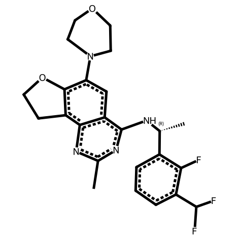 Cc1nc(N[C@H](C)c2cccc(C(F)F)c2F)c2cc(N3CCOCC3)c3c(c2n1)CCO3